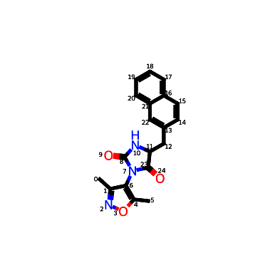 Cc1noc(C)c1N1C(=O)NC(Cc2ccc3ccccc3c2)C1=O